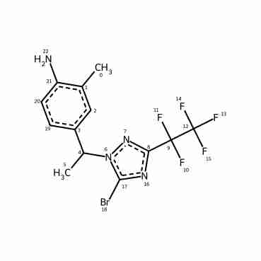 Cc1cc(C(C)n2nc(C(F)(F)C(F)(F)F)nc2Br)ccc1N